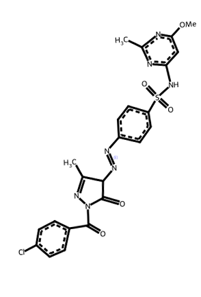 COc1cc(NS(=O)(=O)c2ccc(/N=N/C3C(=O)N(C(=O)c4ccc(Cl)cc4)N=C3C)cc2)nc(C)n1